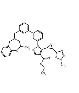 CCOC(=O)c1cnn(-c2cccc(-c3cccc(CN4Cc5ccccc5OC(C)C4)c3)c2)c1C1CC1c1cn(C)nn1